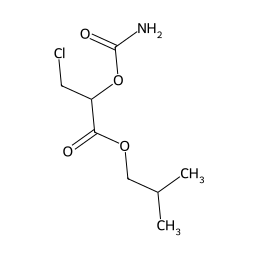 CC(C)COC(=O)C(CCl)OC(N)=O